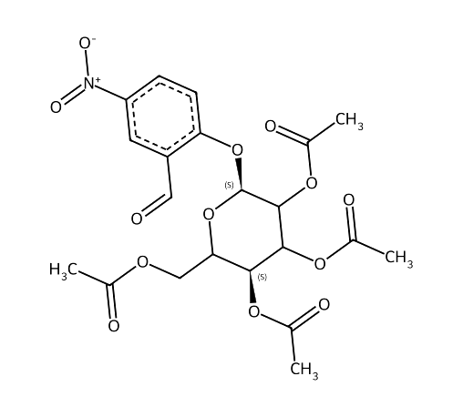 CC(=O)OCC1O[C@@H](Oc2ccc([N+](=O)[O-])cc2C=O)C(OC(C)=O)C(OC(C)=O)[C@H]1OC(C)=O